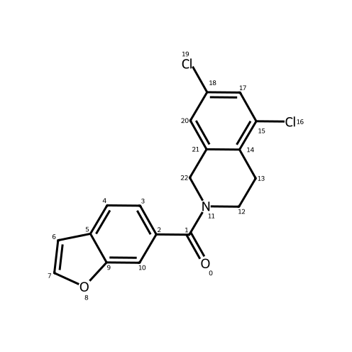 O=C(c1ccc2ccoc2c1)N1CCc2c(Cl)cc(Cl)cc2C1